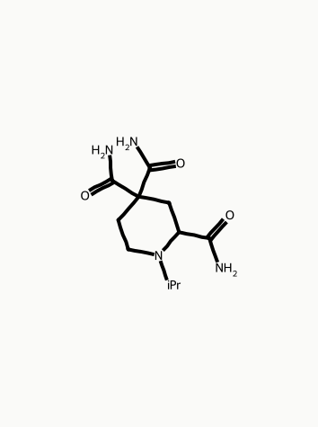 CC(C)N1CCC(C(N)=O)(C(N)=O)CC1C(N)=O